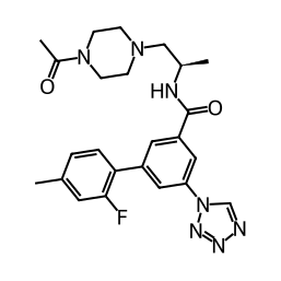 CC(=O)N1CCN(C[C@@H](C)NC(=O)c2cc(-c3ccc(C)cc3F)cc(-n3cnnn3)c2)CC1